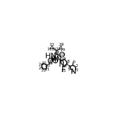 Cc1ccncc1-c1ccc(NC(=O)[C@@H](NC(=O)OCc2ccccc2)C(C2CC2)C2CC2)nc1F